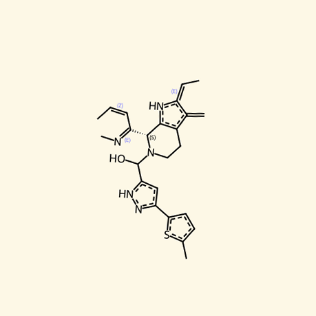 C=c1c2c([nH]/c1=C/C)[C@@H](C(/C=C\C)=N/C)N(C(O)c1cc(-c3ccc(C)s3)n[nH]1)CC2